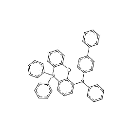 c1ccc(-c2ccc(N(c3ccccc3)c3cccc4c3Oc3ccccc3[Si]4(c3ccccc3)c3ccccc3)cc2)cc1